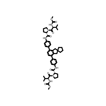 COC(=O)N[C@H](C(=O)N1CCC[C@H]1C(=O)Nc1ccc(-c2ccc(-c3ccc(NC(=O)[C@@H]4CCCN4C(=O)[C@@H](NC(=O)OC)C(C)C)cc3)c3c2CC2(CCCC2)C3)cc1)C(C)C